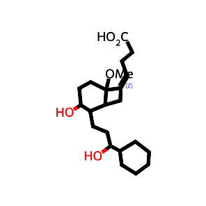 COC12CCC(O)C(CCC(O)C3CCCCC3)C1C/C2=C/CCC(=O)O